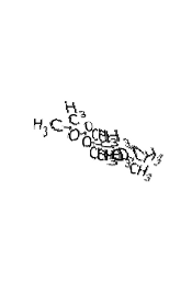 CC(C)OCC(C)(C)C(C)(C)OC(=O)OC(C)C